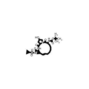 CC(C)(C)OC(=O)NC1CCCCC/C=C/C2CC2(C(=O)NS(=O)(=O)C2CC2)NC(=O)C2CC(O)CN2C1=O